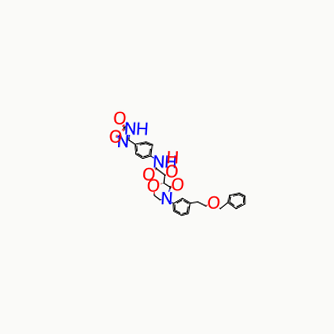 O=C(Nc1ccc(-c2noc(=O)[nH]2)cc1)[C@H](O)[C@H]1OCCN(c2cccc(CCOCc3ccccc3)c2)C1=O